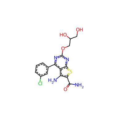 NC(=O)c1sc2nc(OCC(O)CO)nc(-c3cccc(Cl)c3)c2c1N